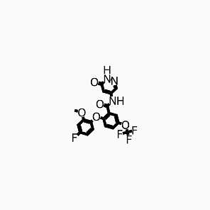 COc1cc(F)ccc1Oc1ccc(OC(F)(F)F)cc1C(=O)Nc1cn[nH]c(=O)c1